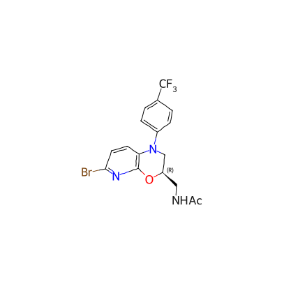 CC(=O)NC[C@@H]1CN(c2ccc(C(F)(F)F)cc2)c2ccc(Br)nc2O1